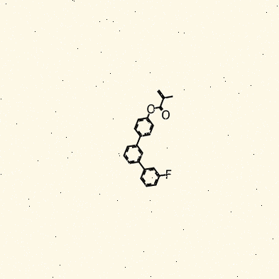 C=C(C)C(=O)Oc1ccc(-c2cccc(-c3cccc(F)c3)c2)cc1